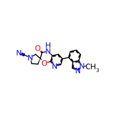 Cn1ncc2c(-c3cnc4c(c3)NC(=O)[C@]3(CCN(C#N)C3)O4)cccc21